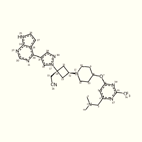 CN(C)Cc1cc(OC2CCN([C@H]3C[C@](CC#N)(n4cc(-c5ncnc6[nH]ccc56)cn4)C3)CC2)nc(C(F)(F)F)n1